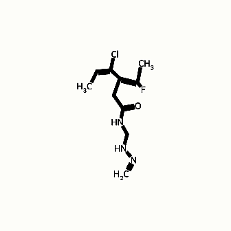 C=NNCNC(=O)CC(/C(Cl)=C\C)=C(/C)F